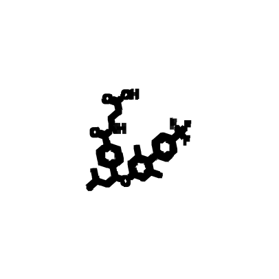 Cc1cc(OC(CC(C)C)c2ccc(C(=O)NCCC(=O)O)cc2)cc(C)c1-c1ccc(C(F)(F)F)cc1